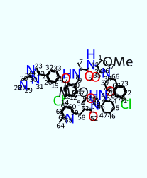 COC[C@H](NC(=O)[C@H](C)NCc1ccc(Cl)cc1Oc1ccc(-c2cnc(CN(C)C)n2C)cc1)C(=O)N(C)[C@H](CC(=O)N[C@H]1CCCC[C@@H]1N(C)C(=O)[C@@H](CC(=O)OC)Cc1cccc(C)n1)Cc1ccc(Cl)cc1